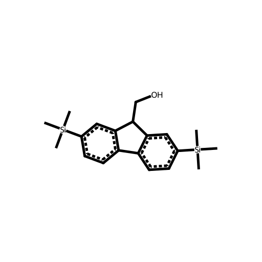 C[Si](C)(C)c1ccc2c(c1)C(CO)c1cc([Si](C)(C)C)ccc1-2